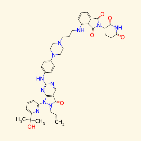 C=CCn1c(=O)c2cnc(Nc3ccc(N4CCN(CCCNc5cccc6c5C(=O)N(C5CCC(=O)NC5=O)C6=O)CC4)cc3)nc2n1-c1cccc(C(C)(C)O)n1